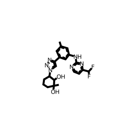 Cc1cc(Nc2nccc(C(F)F)n2)cc(-c2cn(C3CCCC(C)(O)C3O)nn2)c1